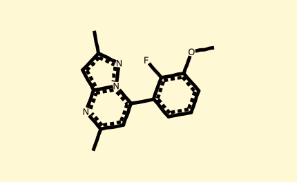 COc1cccc(-c2cc(C)nc3cc(C)nn23)c1F